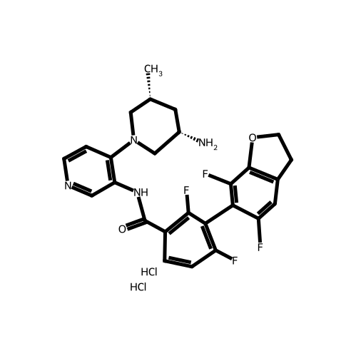 C[C@@H]1C[C@H](N)CN(c2ccncc2NC(=O)c2ccc(F)c(-c3c(F)cc4c(c3F)OCC4)c2F)C1.Cl.Cl